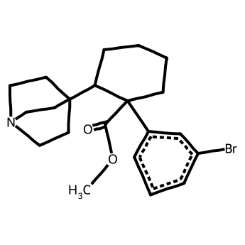 COC(=O)C1(c2cccc(Br)c2)CCCCC1C12CCN(CC1)CC2